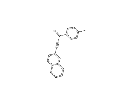 Cc1ccc(C(=O)C#Cc2ccc3ccccc3c2)cc1